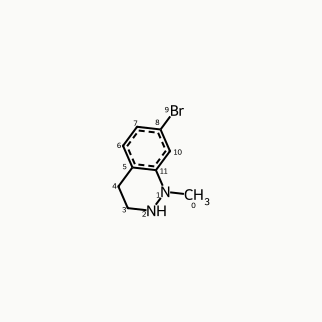 CN1NCCc2ccc(Br)cc21